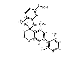 CCCC1(Nc2cc(CO)ccc2C)CCCc2nc(-c3c(CC)cccc3CC)cc(OC)c21